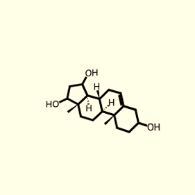 C[C@]12CCC(O)CC1=CC[C@@H]1[C@@H]2CC[C@]2(C)C(O)CC(O)[C@@H]12